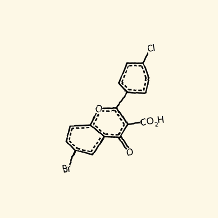 O=C(O)c1c(-c2ccc(Cl)cc2)oc2ccc(Br)cc2c1=O